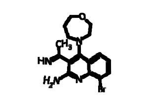 CC(=N)c1c(N)nc2c(Br)cccc2c1N1CCCOCC1